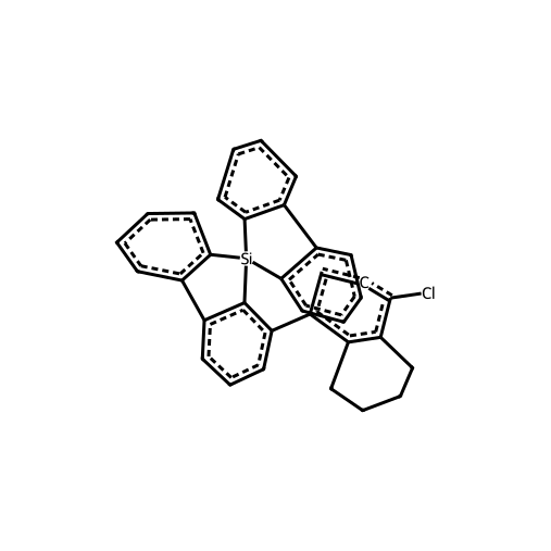 Clc1ccc(-c2cccc3c2[Si]2(c4ccccc4-c4ccccc42)c2ccccc2-3)c2c1CCCC2